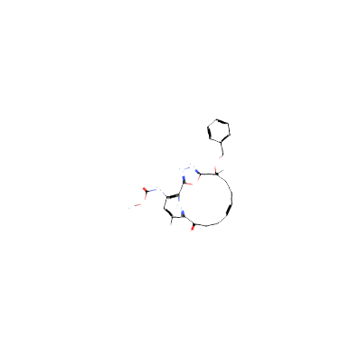 CC(C)(C)OC(=O)Nc1cc(C(F)(F)F)c2nc1-c1nnc(o1)C(OCc1ccccc1)(C(F)(F)F)CCC=CCCC2=O